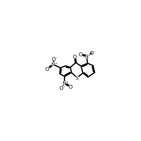 O=c1c2cc([N+](=O)[O-])cc([N+](=O)[O-])c2sc2cccc([N+](=O)[O-])c12